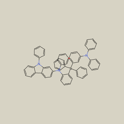 c1ccc(N(c2ccccc2)c2cccc([Si](c3ccccc3)(c3ccccc3)c3ccccc3N(c3ccccc3)c3ccc4c5ccccc5n(-c5ccccc5)c4c3)c2)cc1